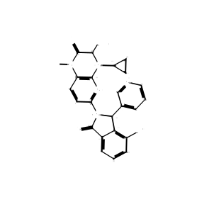 CC1C(=O)N(C)c2ccc(N3C(=O)c4cccc(F)c4C3c3cccnc3)nc2N1C1CC1